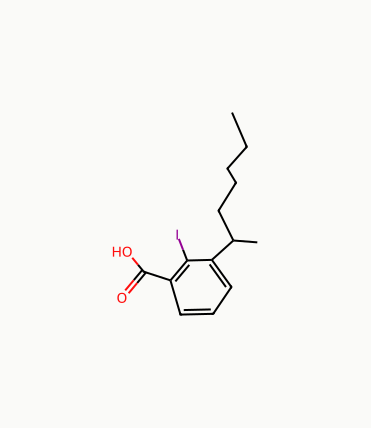 CCCCCC(C)c1cccc(C(=O)O)c1I